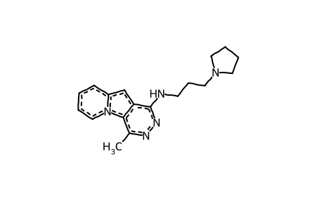 Cc1nnc(NCCCN2CCCC2)c2cc3ccccn3c12